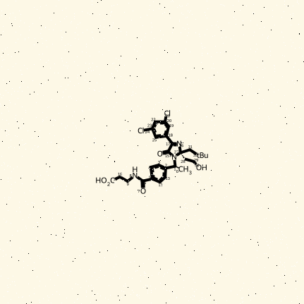 C[C@H](c1ccc(C(=O)NCCC(=O)O)cc1)N1C(=O)C(c2cc(Cl)cc(Cl)c2)=N[C@@]1(CCO)CC(C)(C)C